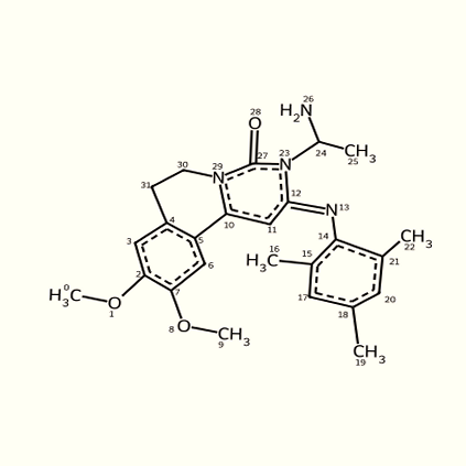 COc1cc2c(cc1OC)-c1cc(=Nc3c(C)cc(C)cc3C)n(C(C)N)c(=O)n1CC2